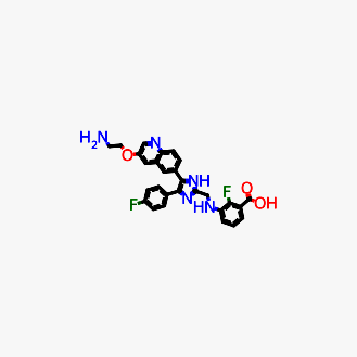 NCCOc1cnc2ccc(-c3[nH]c(CNc4cccc(C(=O)O)c4F)nc3-c3ccc(F)cc3)cc2c1